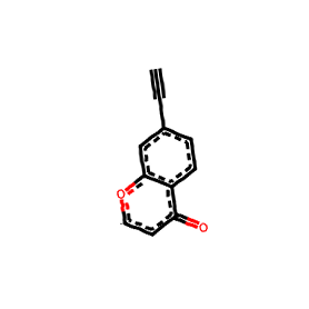 C#Cc1ccc2c(=O)c[c]oc2c1